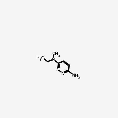 CCN(C)c1ccc(N)nn1